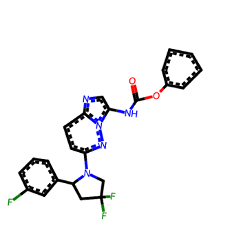 O=C(Nc1cnc2ccc(N3CC(F)(F)CC3c3cccc(F)c3)nn12)Oc1ccccc1